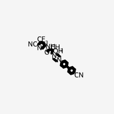 CC(O)(CN1CCN(c2ccc(-c3ccc(C#N)cc3)cc2)CC1)C(=O)Nc1cnc(C#N)c(C(F)(F)F)c1